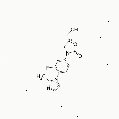 Cc1nccn1-c1ccc(N2C[C@H](CO)OC2=O)cc1F